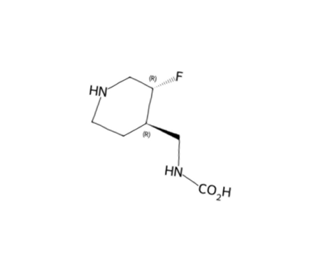 O=C(O)NC[C@H]1CCNC[C@@H]1F